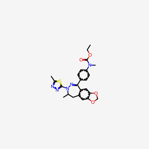 CCOC(=O)N(C)c1ccc(C2=NN(c3nnc(C)s3)C(C)Cc3cc4c(cc32)OCO4)cc1